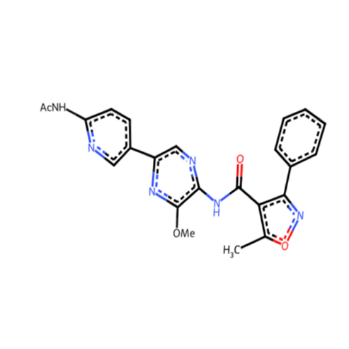 COc1nc(-c2ccc(NC(C)=O)nc2)cnc1NC(=O)c1c(-c2ccccc2)noc1C